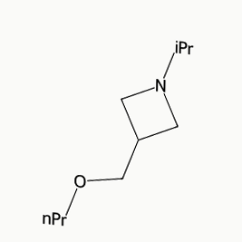 CCCOCC1CN(C(C)C)C1